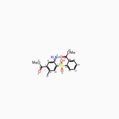 COC(=O)c1cc(N)c(S(=O)(=O)c2ccccc2C(=O)OC)cc1C